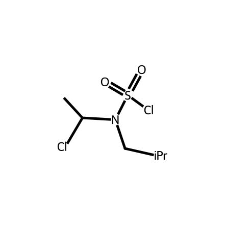 CC(C)CN(C(C)Cl)S(=O)(=O)Cl